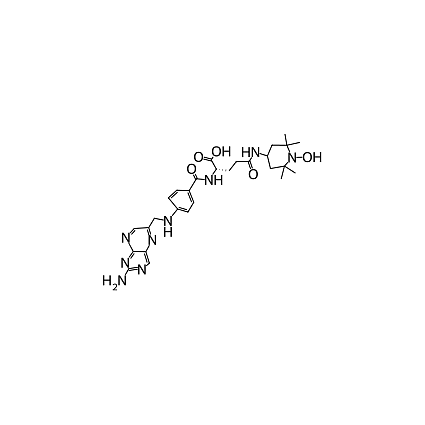 CC1(C)CC(NC(=O)CC[C@H](NC(=O)c2ccc(NCc3cnc4nc(N)ncc4n3)cc2)C(=O)O)CC(C)(C)N1O